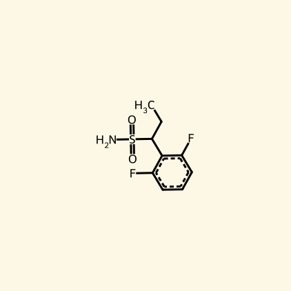 CCC(c1c(F)cccc1F)S(N)(=O)=O